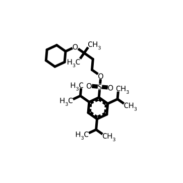 CC(C)c1cc(C(C)C)c(S(=O)(=O)OCCC(C)(C)OC2CCCCC2)c(C(C)C)c1